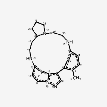 Cc1ccc2cc1-c1cnn3ccc(nc13)NCCC1CCCN1CCN2